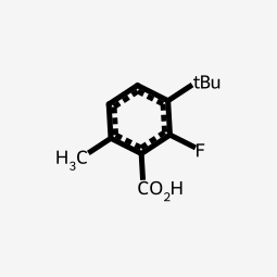 Cc1ccc(C(C)(C)C)c(F)c1C(=O)O